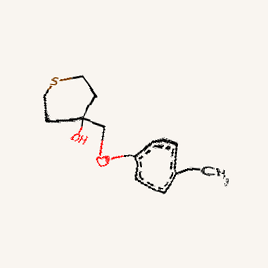 Cc1ccc(OCC2(O)CCSCC2)cc1